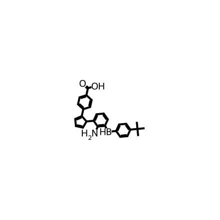 CC(C)(C)c1ccc(Bc2cccc(C3C=CC=C3c3ccc(C(=O)O)cc3)c2N)cc1